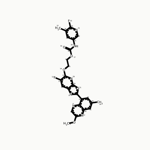 COc1cnc2c(-c3nc4cc(F)c(OCCOC(=O)Nc5cnc(F)c(C)c5)nc4s3)cc(C)cc2n1